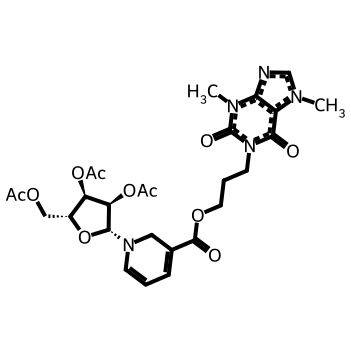 CC(=O)OC[C@H]1O[C@@H](N2C=CC=C(C(=O)OCCCn3c(=O)c4c(ncn4C)n(C)c3=O)C2)[C@H](OC(C)=O)[C@@H]1OC(C)=O